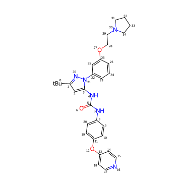 CC(C)(C)c1cc(NC(=O)Nc2ccc(Oc3ccncc3)cc2)n(-c2cccc(OCCN3CCCC3)c2)n1